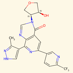 Cc1n[nH]cc1-c1nc(-c2ccc(C(F)(F)F)nc2)cc2c(=O)n([C@H]3COC[C@H]3O)cnc12